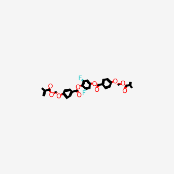 C=C(C)C(=O)OCOc1ccc(C(=O)Oc2cc(F)c(OC(=O)c3ccc(OCOC(=O)C(=C)C)cc3)c(F)c2)cc1